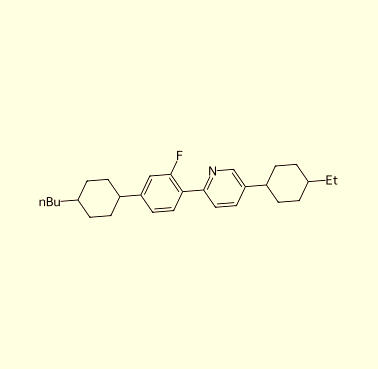 CCCCC1CCC(c2ccc(-c3ccc(C4CCC(CC)CC4)cn3)c(F)c2)CC1